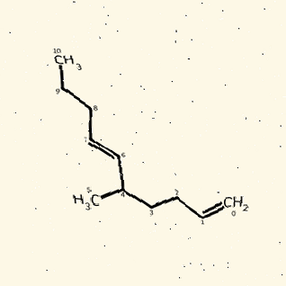 C=CCCC(C)C=CCCC